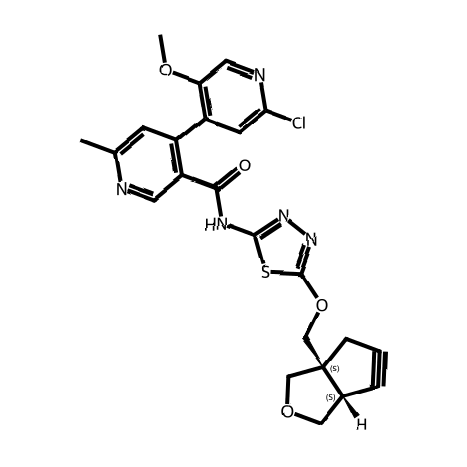 COc1cnc(Cl)cc1-c1cc(C)ncc1C(=O)Nc1nnc(OC[C@@]23CC#C[C@@H]2COC3)s1